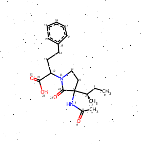 CC[C@@H](C)C1(NC(C)=O)CCN(C(CCc2ccccc2)C(=O)O)C1=O